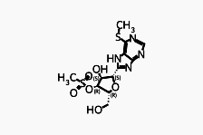 CSc1ncnc2nc([C@@H]3O[C@H](CO)[C@H](OS(C)(=O)=O)[C@H]3O)[nH]c12